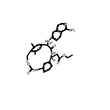 CCOC(=O)C[C@H]1NC(=O)[C@H](Nc2ccc3c(N)nccc3c2)c2cc(C)c(c(C)c2)CCOC(=O)Nc2cccc1c2